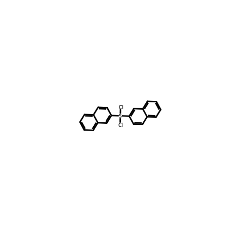 ClS(Cl)(c1ccc2ccccc2c1)c1ccc2ccccc2c1